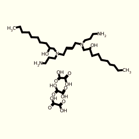 CCCCCCCCC(O)CN(C/C=C/CN(CCCN)CC(O)CCCCCCCC)CCCN.O=C(O)C(=O)O.O=C(O)C(=O)O.O=C(O)C(=O)O